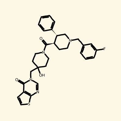 O=C([C@@H]1CCN(Cc2cccc(F)c2)C[C@H]1c1ccccc1)N1CCC(O)(Cn2cnc3sccc3c2=O)CC1